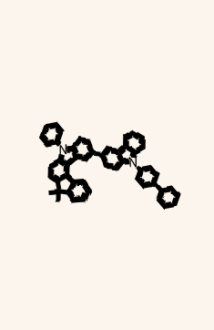 CC1(C)c2ccccc2-c2c1ccc1c2c2cc(-c3ccc4c(c3)c3ccccc3n4-c3ccc(-c4ccccc4)cc3)ccc2n1-c1ccccc1